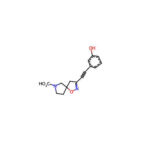 O=C(O)N1CCC2(CC(C#Cc3cccc(O)c3)=NO2)C1